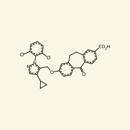 O=C(O)c1ccc2c(c1)CCc1cc(OCc3c(C4CC4)cnn3-c3c(Cl)cccc3Cl)ccc1C2=O